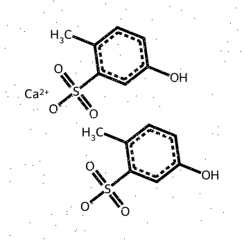 Cc1ccc(O)cc1S(=O)(=O)[O-].Cc1ccc(O)cc1S(=O)(=O)[O-].[Ca+2]